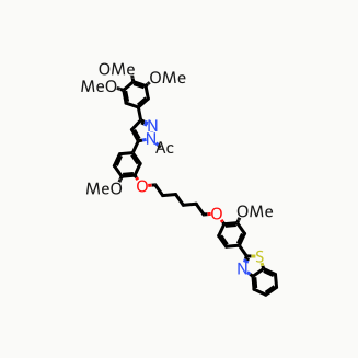 COc1cc(-c2nc3ccccc3s2)ccc1OCCCCCCOc1cc(-c2cc(-c3cc(OC)c(OC)c(OC)c3)nn2C(C)=O)ccc1OC